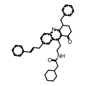 O=C(CC1CCCCC1)NCCc1c2c(nc3ccc(CC=Cc4ccccc4)cc13)C(Cc1ccccc1)CCC2=O